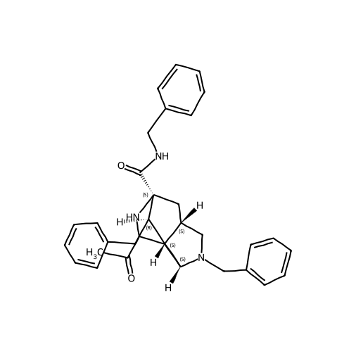 CC(=O)C1N[C@@]2(C(=O)NCc3ccccc3)C[C@@H]3CN(Cc4ccccc4)[C@@H]([C@H]13)[C@H]2Cc1ccccc1